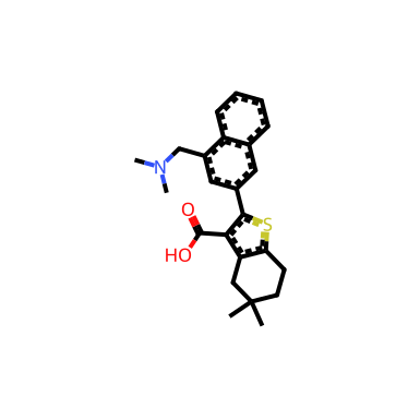 CN(C)Cc1cc(-c2sc3c(c2C(=O)O)CC(C)(C)CC3)cc2ccccc12